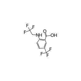 O=C(O)c1cc(C(F)(F)F)ccc1NCC(F)(F)F